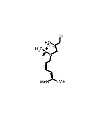 CNC(=C/C=C\CN(C[C@@H](O)CO)S(C)(=O)=O)NC